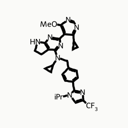 COc1ncnc(C2CC2)c1-c1nc2c(c(N(Cc3ccc(-c4nc(C(F)(F)F)cn4C(C)C)cc3)C3CC3)n1)CCN2